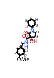 COc1ccc(CNC(=O)[C@@]2(O)CCN(c3ccccc3)C2=O)cc1